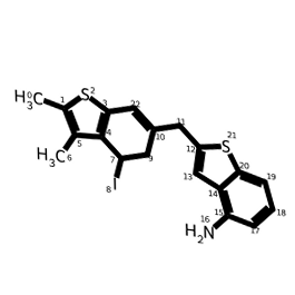 Cc1sc2c(c1C)C(I)CC(Cc1cc3c(N)cccc3s1)=C2